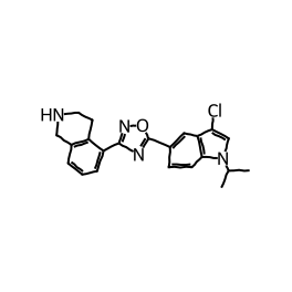 CC(C)n1cc(Cl)c2cc(-c3nc(-c4cccc5c4CCNC5)no3)ccc21